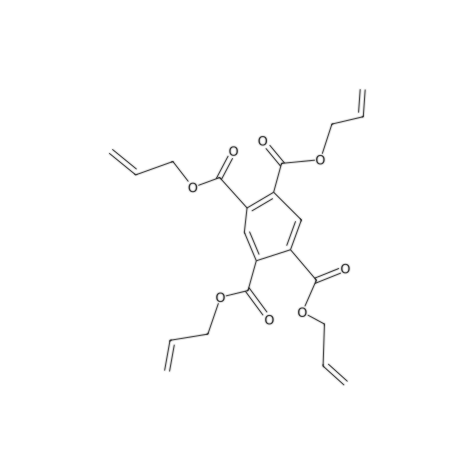 C=CCOC(=O)c1cc(C(=O)OCC=C)c(C(=O)OCC=C)cc1C(=O)OCC=C